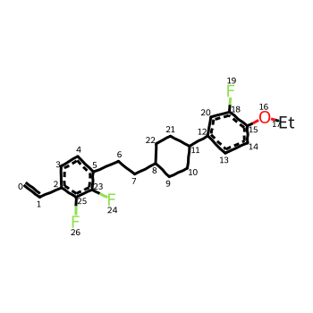 C=Cc1ccc(CCC2CCC(c3ccc(OCC)c(F)c3)CC2)c(F)c1F